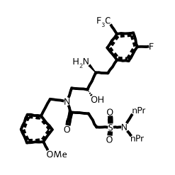 CCCN(CCC)S(=O)(=O)CCC(=O)N(Cc1cccc(OC)c1)C[C@@H](O)[C@@H](N)Cc1cc(F)cc(C(F)(F)F)c1